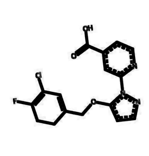 O=C(O)c1ccnc(-n2nccc2OCC2=CC(Cl)=C(F)CC2)c1